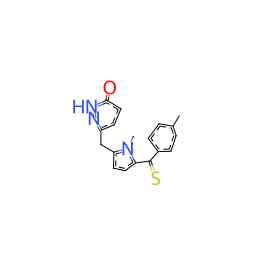 Cc1ccc(C(=S)c2ccc(Cc3ccc(=O)[nH]n3)n2C)cc1